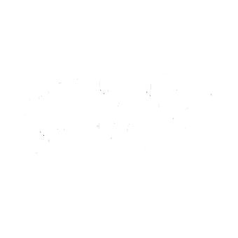 Cc1ccc([C@H](Nc2c(Nc3ccc(Cl)c(C(=O)N(C)C)c3O)c(=O)c2=O)C2(C)COC2)o1